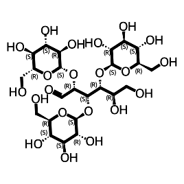 O=C[C@H](O[C@@H]1O[C@H](CO)[C@@H](O)[C@H](O)[C@H]1O)[C@@H](O[C@@H]1O[C@H](CO)[C@@H](O)[C@H](O)[C@H]1O)[C@H](O[C@@H]1O[C@H](CO)[C@@H](O)[C@H](O)[C@H]1O)[C@H](O)CO